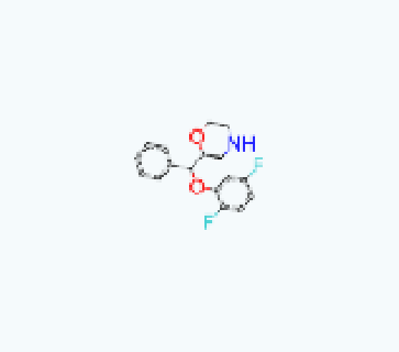 Fc1ccc(F)c(O[C@@H](c2ccccc2)[C@@H]2CNCCO2)c1